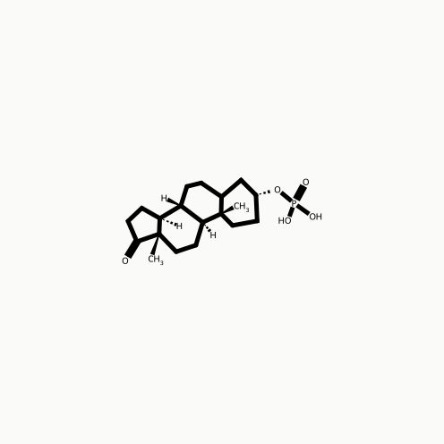 C[C@]12CC[C@@H](OP(=O)(O)O)CC1CC[C@@H]1[C@@H]2CC[C@]2(C)C(=O)CC[C@@H]12